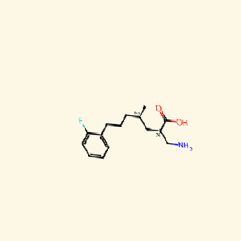 C[C@H](CCCc1ccccc1F)C[C@H](CN)C(=O)O